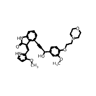 COc1cc(C(O)C#Cc2cccc3c2C(=Cc2[nH]ccc2OC)C(=O)N3)ccc1OCCN1CCOCC1